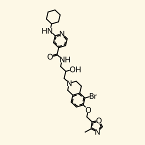 Cc1ncoc1COc1ccc2c(c1Br)CCN(CC(O)CNC(=O)c1ccnc(NC3CCCCC3)c1)C2